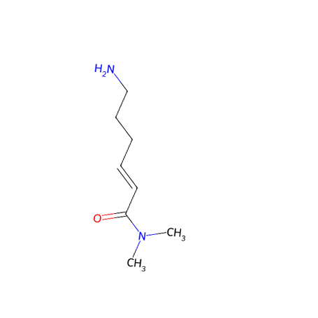 CN(C)C(=O)C=CCCCN